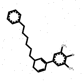 Cc1cc(C2=CC(CCCCCCc3ccccc3)CC=C2)cc(C)c1Br